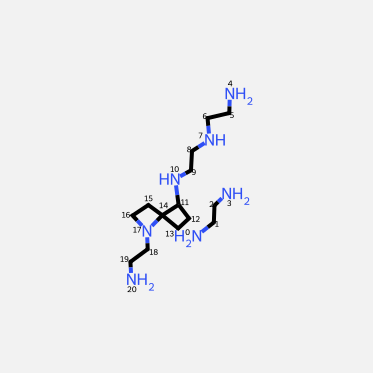 NCCN.NCCNCCNC1CCC12CCN2CCN